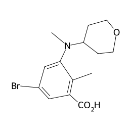 Cc1c(C(=O)O)cc(Br)cc1N(C)C1CCOCC1